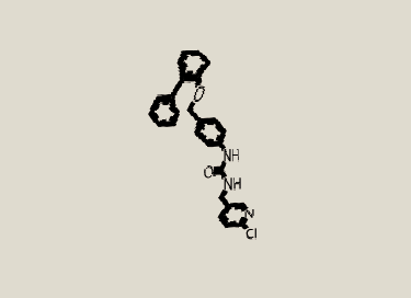 O=C(NCc1ccc(Cl)nc1)Nc1ccc(COc2ccccc2-c2ccccc2)cc1